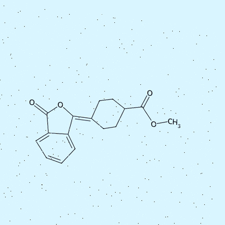 COC(=O)C1CCC(=C2OC(=O)c3ccccc32)CC1